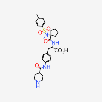 Cc1ccc(S(=O)(=O)N(C)C2(C(=O)N[C@@H](Cc3ccc(NC(=O)C4CCNCC4)cc3)C(=O)O)CCCC2)cc1